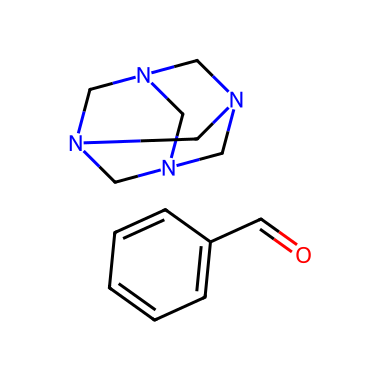 C1N2CN3CN1CN(C2)C3.O=Cc1ccccc1